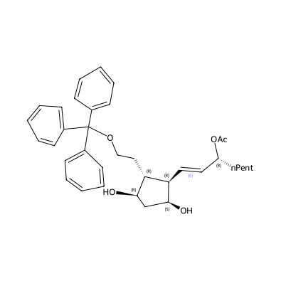 CCCCC[C@H](/C=C/[C@@H]1[C@@H](CCOC(c2ccccc2)(c2ccccc2)c2ccccc2)[C@H](O)C[C@@H]1O)OC(C)=O